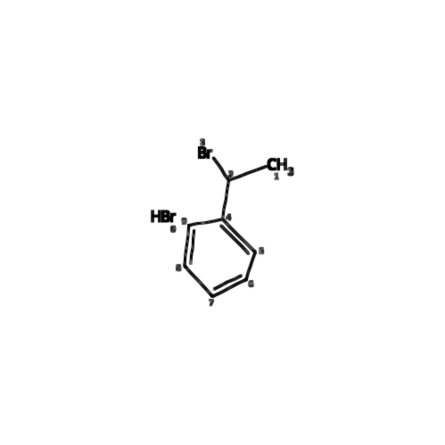 Br.CC(Br)c1ccccc1